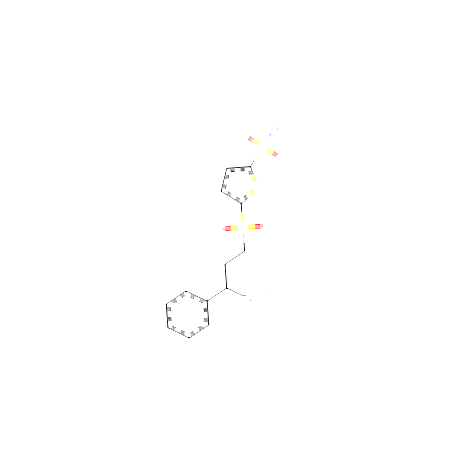 CC(=O)NC(CCS(=O)(=O)c1ccc(S(N)(=O)=O)s1)c1ccccc1